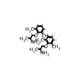 Cc1cccc(C)c1OCC(C)N.Cc1cccc(C)c1OCC(C)N